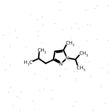 Cc1cc(CC(C)C)nn1C(C)C